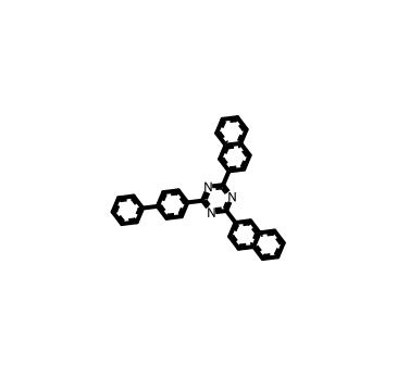 c1ccc(-c2ccc(-c3nc(-c4ccc5ccccc5c4)nc(-c4ccc5ccccc5c4)n3)cc2)cc1